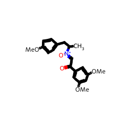 COc1ccc(CC(C)[N+]([O-])=CC(=O)c2cc(OC)cc(OC)c2)cc1